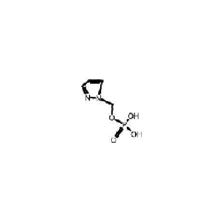 O=P(O)(O)OCn1cccn1